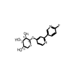 O[C@@H]1[C@@H](O)[C@@H](Oc2ccnc(-c3ccc(F)nc3)c2)SC[C@H]1O